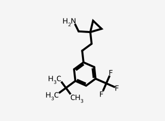 CC(C)(C)c1cc(CCC2(CN)CC2)cc(C(F)(F)F)c1